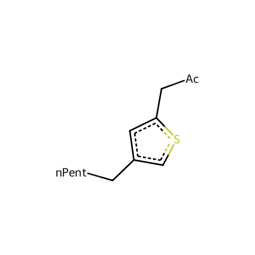 CCCCCCc1csc(CC(C)=O)c1